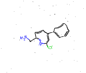 NCc1ccc(-c2ccccc2)c(Cl)n1